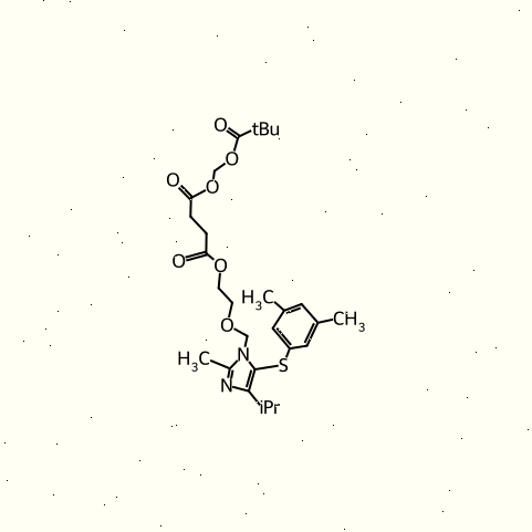 Cc1cc(C)cc(Sc2c(C(C)C)nc(C)n2COCCOC(=O)CCC(=O)OCOC(=O)C(C)(C)C)c1